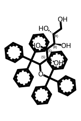 OC[C@@H](O)[C@@H](O)[C@H](O)[C@H](O)C(OC(c1ccccc1)(c1ccccc1)c1ccccc1)C(c1ccccc1)(c1ccccc1)c1ccccc1